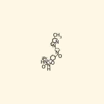 Cc1cnc2c(ccn2[C@H]2CCN(C(=O)c3ccc([C@@]4(C(C)C)NC(=O)NC4=O)cc3)C2)c1